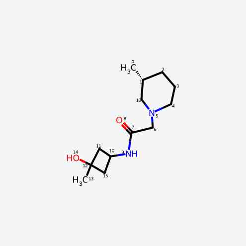 C[C@@H]1CCCN(CC(=O)NC2CC(C)(O)C2)C1